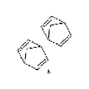 C1=CC2C=CC1C2.C1=CC2C=CC1C2.[Ni]